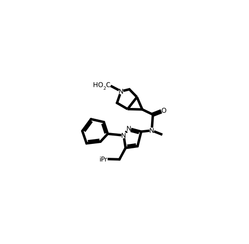 CC(C)Cc1cc(N(C)C(=O)C2C3CN(C(=O)O)CC32)nn1-c1ccccc1